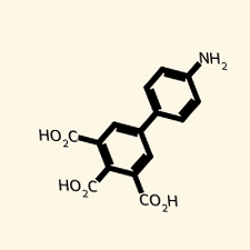 Nc1ccc(-c2cc(C(=O)O)c(C(=O)O)c(C(=O)O)c2)cc1